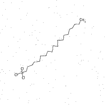 CCCCCCCCCCCCCCCCCCCC[Si](Cl)(Cl)Cl